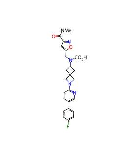 CNC(=O)c1cc(CN(C(=O)O)C2CC3(C2)CN(c2ccc(-c4ccc(F)cc4)cn2)C3)on1